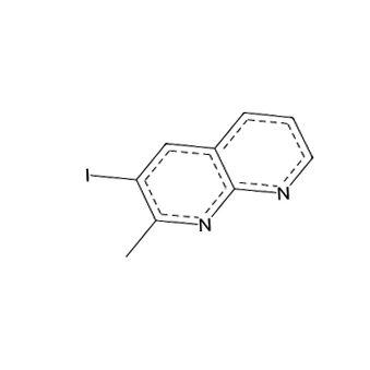 Cc1nc2ncccc2cc1I